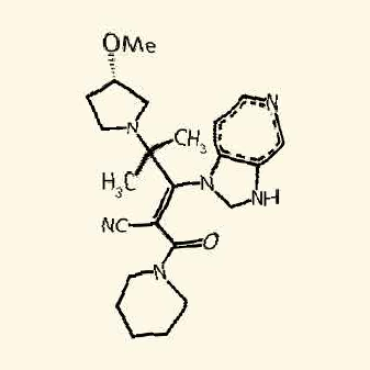 CO[C@H]1CCN(C(C)(C)C(=C(C#N)C(=O)N2CCCCC2)N2CNc3cnccc32)C1